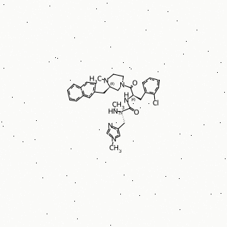 CN[C@@H](Cc1cn(C)cn1)C(=O)N[C@H](Cc1ccccc1Cl)C(=O)N1CCN(C)[C@H](Cc2ccc3ccccc3c2)C1